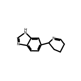 [c]1nc2ccc(C3CCCC=N3)cc2[nH]1